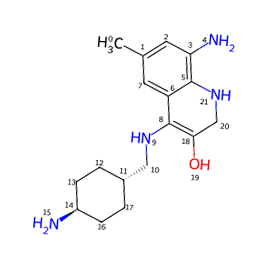 Cc1cc(N)c2c(c1)C(NC[C@H]1CC[C@H](N)CC1)=C(O)CN2